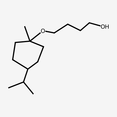 CC(C)C1CCC(C)(OCCCCO)CC1